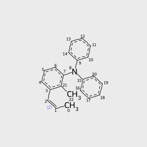 C/C=C\c1cccc(N(c2ccccc2)c2ccccc2)c1C